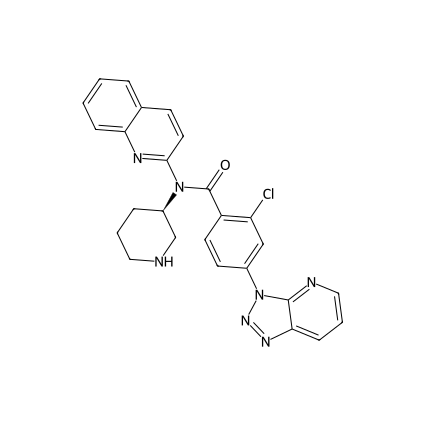 O=C(c1ccc(-n2nnc3cccnc32)cc1Cl)N(c1ccc2ccccc2n1)[C@@H]1CCCNC1